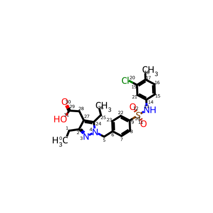 CCc1nn(Cc2ccc(S(=O)(=O)Nc3ccc(C)c(Cl)c3)cc2)c(CC)c1CC(=O)O